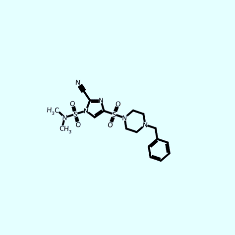 CN(C)S(=O)(=O)n1cc(S(=O)(=O)N2CCN(Cc3ccccc3)CC2)nc1C#N